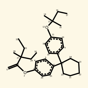 C=C(Oc1ccc(C2(c3ccc(OC(C)(C)CC)cc3)CCCCC2)cc1)C(C)(CC)CC